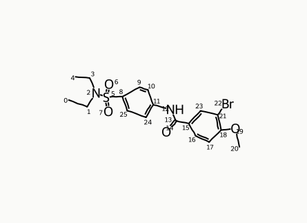 CCN(CC)S(=O)(=O)c1ccc(NC(=O)c2ccc(OC)c(Br)c2)cc1